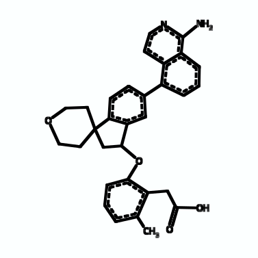 Cc1cccc(OC2CC3(CCOCC3)c3ccc(-c4cccc5c(N)nccc45)cc32)c1CC(=O)O